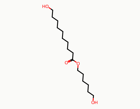 O=C(CCCCCCCCCO)OCCCCCCO